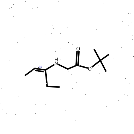 C/C=C(\CC)NCC(=O)OC(C)(C)C